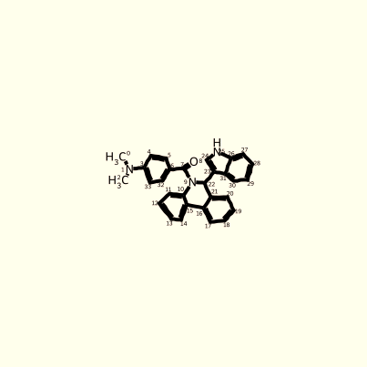 CN(C)c1ccc(C(=O)N2c3ccccc3-c3ccccc3C2c2c[nH]c3ccccc23)cc1